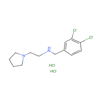 Cl.Cl.Clc1ccc(CNCCN2CCCC2)cc1Cl